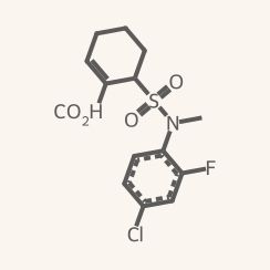 CN(c1ccc(Cl)cc1F)S(=O)(=O)C1CCCC=C1C(=O)O